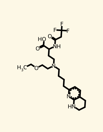 CCOCCN(CCCCc1ccc2c(n1)NCCC2)CCC(NC(=O)CC(F)(F)F)C(=O)O